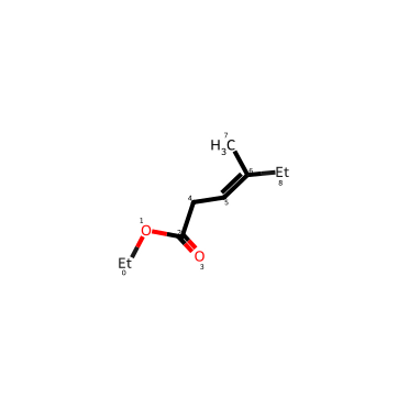 CCOC(=O)CC=C(C)CC